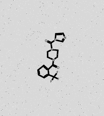 O=C(c1ccccc1C(F)(F)F)N1CCN(C(=O)n2ccnc2)CC1